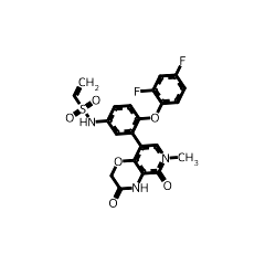 C=CS(=O)(=O)Nc1ccc(Oc2ccc(F)cc2F)c(-c2cn(C)c(=O)c3c2OCC(=O)N3)c1